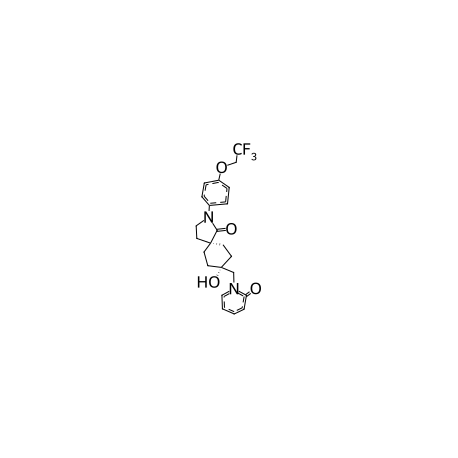 O=c1ccccn1C[C@]1(O)CC[C@@]2(CCN(c3ccc(OCC(F)(F)F)cc3)C2=O)CC1